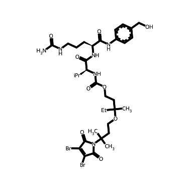 CCC(C)(CCOC(=O)N[C@H](C(=O)N[C@@H](CCCNC(N)=O)C(=O)Nc1ccc(CO)cc1)C(C)C)OCCC(C)(C)N1C(=O)C(Br)=C(Br)C1=O